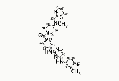 Cc1cc(Nc2ccnc(Nc3ccc(C(=O)N4CCC(N(C)Cc5ccccn5)CC4)cc3)n2)ccc1F